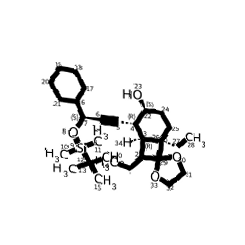 CCC1[C@H]2[C@H](C#C[C@@H](O[Si](C)(C)C(C)(C)C)C3CCCCC3)[C@@H](O)CC[C@@]2(CC)C12OCCO2